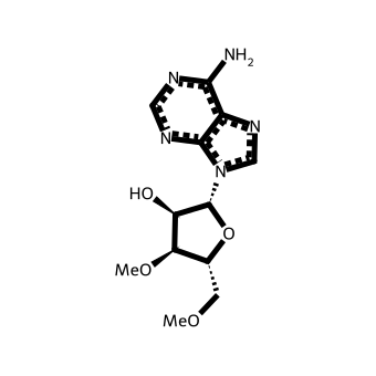 COC[C@H]1O[C@@H](n2cnc3c(N)ncnc32)[C@H](O)[C@@H]1OC